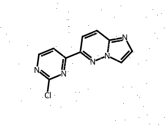 Clc1nccc(-c2ccc3nccn3n2)n1